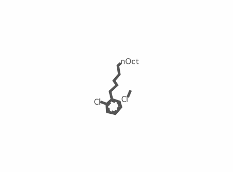 CCCCCCCCCCCCCc1ccccc1Cl.CCl